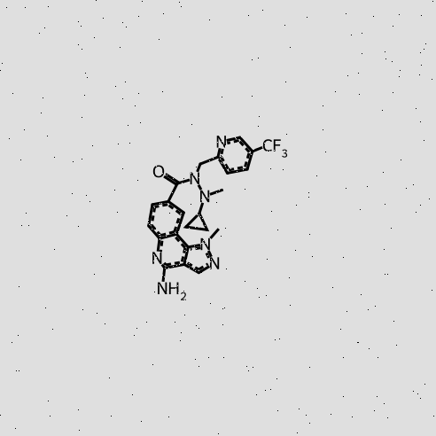 CN(C1CC1)N(Cc1ccc(C(F)(F)F)cn1)C(=O)c1ccc2nc(N)c3cnn(C)c3c2c1